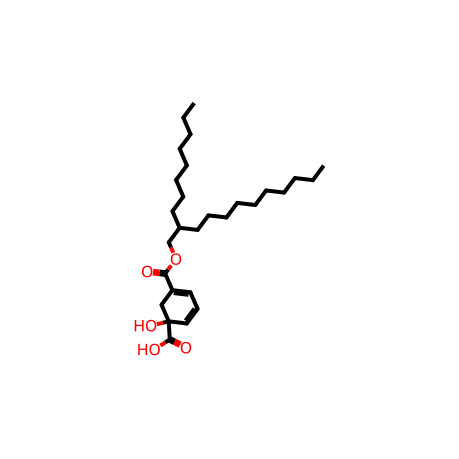 CCCCCCCCCCC(CCCCCCCC)COC(=O)C1=CC=CC(O)(C(=O)O)C1